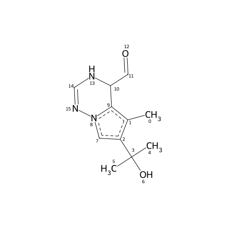 Cc1c(C(C)(C)O)cn2c1C(C=O)NC=N2